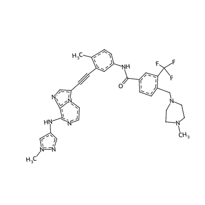 Cc1ccc(NC(=O)c2ccc(CN3CCN(C)CC3)c(C(F)(F)F)c2)cc1C#Cc1cnc2c(Nc3cnn(C)c3)nccn12